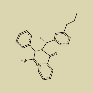 CCCc1cccc([C@@H](C)N(C(=O)c2ccccc2)[C@H](C(N)=O)c2ccccc2)c1